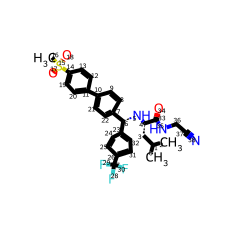 CC(C)C[C@H](N[C@@H](c1ccc(-c2ccc(S(C)(=O)=O)cc2)cc1)c1ccc(C(F)(F)F)cc1)C(=O)NCC#N